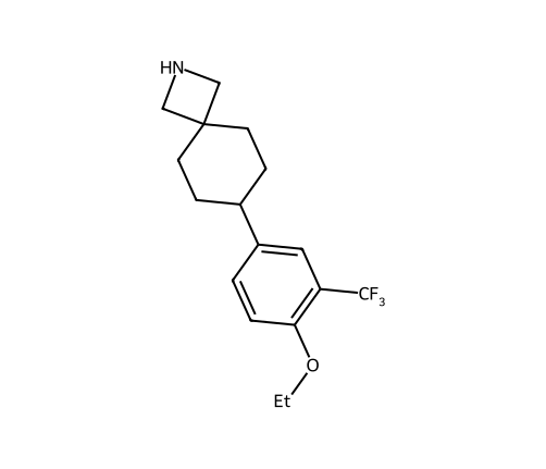 CCOc1ccc(C2CCC3(CC2)CNC3)cc1C(F)(F)F